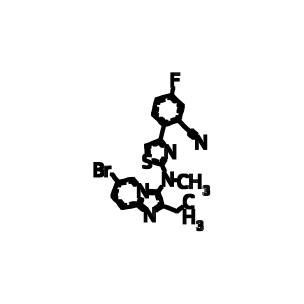 CCc1nc2ccc(Br)cn2c1N(C)c1nc(-c2ccc(F)cc2C#N)cs1